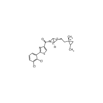 CC1C[C@@]1(C)CC[C@@H]1C2[C@@H]1N2C(=O)c1csc(-c2cccc(Cl)c2Cl)n1